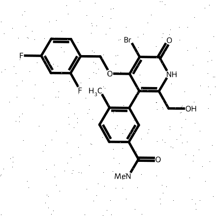 CNC(=O)c1ccc(C)c(-c2c(CO)[nH]c(=O)c(Br)c2OCc2ccc(F)cc2F)c1